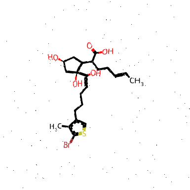 CC=CCCC(C(=O)O)C1C[C@H](O)C[C@@]1(O)/C(O)=C\CCCc1csc(Br)c1C